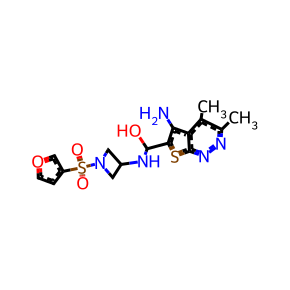 Cc1nnc2sc(C(O)NC3CN(S(=O)(=O)c4ccoc4)C3)c(N)c2c1C